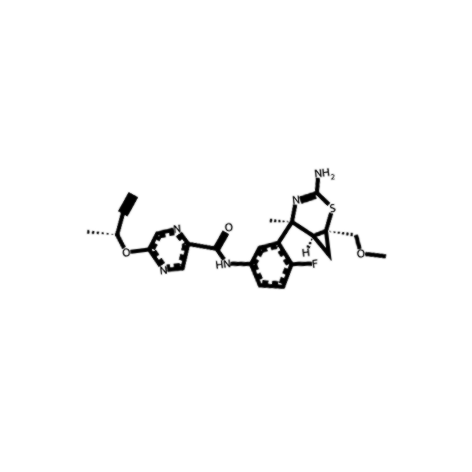 C#C[C@@H](C)Oc1cnc(C(=O)Nc2ccc(F)c([C@@]3(C)N=C(N)S[C@@]4(COC)C[C@H]43)c2)cn1